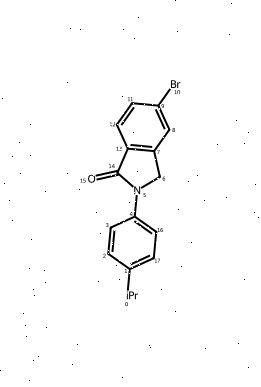 CC(C)c1ccc(N2Cc3cc(Br)ccc3C2=O)cc1